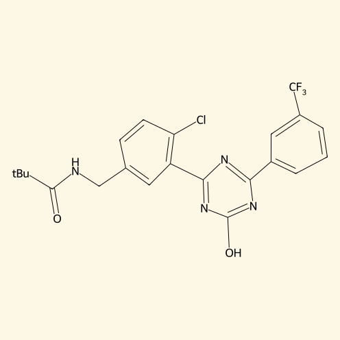 CC(C)(C)C(=O)NCc1ccc(Cl)c(-c2nc(O)nc(-c3cccc(C(F)(F)F)c3)n2)c1